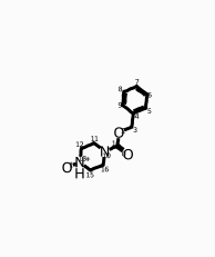 O=C(OCc1ccccc1)N1CC[NH+]([O-])CC1